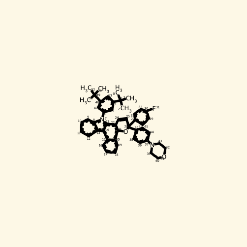 CC(C)(C)c1cc(-n2c3ccccc3c3c4ccccc4c4c(c32)C=CC(c2ccc(F)cc2)(c2ccc(N3CCOCC3)cc2)O4)cc(C(C)(C)C)c1